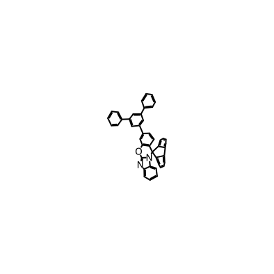 c1ccc(-c2cc(-c3ccccc3)cc(-c3ccc4c(c3)Oc3nc5ccccc5n3C43c4ccccc4-c4ccccc43)c2)cc1